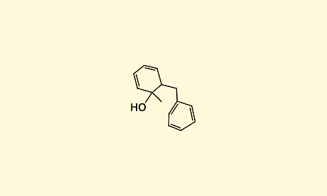 CC1(O)C=CC=CC1Cc1ccccc1